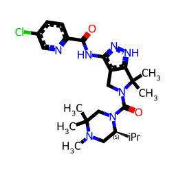 CC(C)[C@H]1CN(C)C(C)(C)CN1C(=O)N1Cc2c(NC(=O)c3ccc(Cl)cn3)n[nH]c2C1(C)C